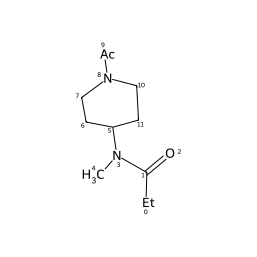 CCC(=O)N(C)C1CCN(C(C)=O)CC1